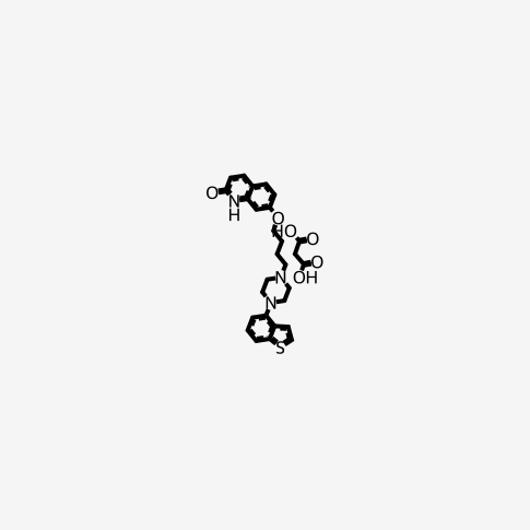 O=C(O)CC(=O)O.O=c1ccc2ccc(OCCCCN3CCN(c4cccc5sccc45)CC3)cc2[nH]1